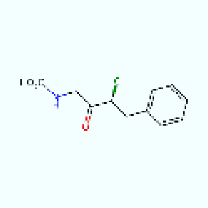 O=C(O)NCC(=O)[C@@H](Cl)Cc1ccccc1